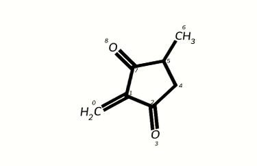 C=C1C(=O)CC(C)C1=O